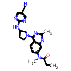 C=CC(=O)N(C)c1ccc2c(N3CCC(Nc4ncc(C#N)cn4)C3)nc(C)nc2c1